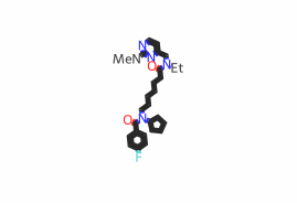 CCN(Cc1ccnc(NC)n1)C(=O)CCCCCCN(C(=O)c1ccc(F)cc1)C1CCCC1